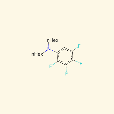 CCCCCCN(CCCCCC)c1cc(F)c(F)c(F)c1F